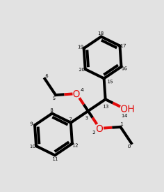 CCOC(OCC)(c1ccccc1)C(O)c1ccccc1